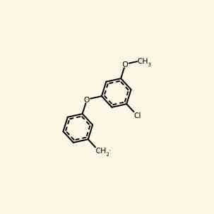 [CH2]c1cccc(Oc2cc(Cl)cc(OC)c2)c1